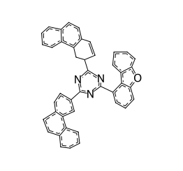 C1=CC(c2nc(-c3ccc4ccc5ccccc5c4c3)nc(-c3cccc4oc5ccccc5c34)n2)Cc2c1ccc1ccccc21